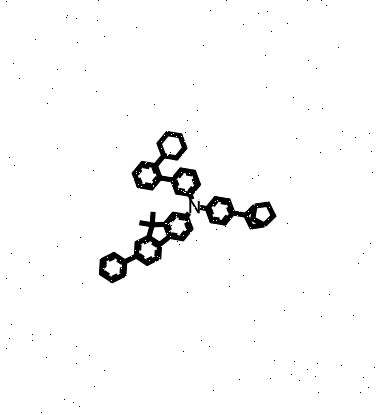 CC1(C)c2cc(-c3ccccc3)ccc2-c2ccc(N(c3ccc(C4CC5CCC4C5)cc3)c3cccc(-c4ccccc4C4CCCCC4)c3)cc21